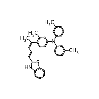 CC(=CC=CC1Nc2ccccc2S1)c1ccc(N(c2cccc(C)c2)c2cccc(C)c2)cc1C